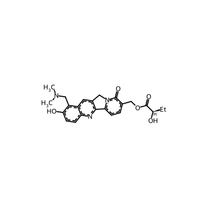 CC[C@@H](O)C(=O)OCc1ccc2n(c1=O)Cc1cc3c(CN(C)C)c(O)ccc3nc1-2